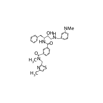 CNc1cccc(CNC[C@@H](O)[C@H](Cc2ccccc2)NC(=O)c2cccc(C(=O)N(C)Cc3nc(C)cs3)c2)c1